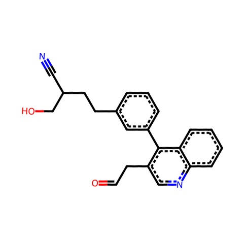 N#CC(CO)CCc1cccc(-c2c(CC=O)cnc3ccccc23)c1